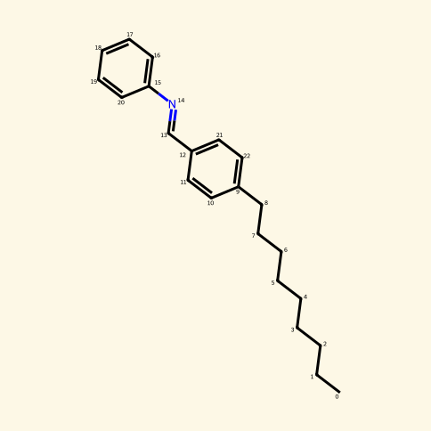 CCCCCCCCCc1ccc(C=Nc2ccccc2)cc1